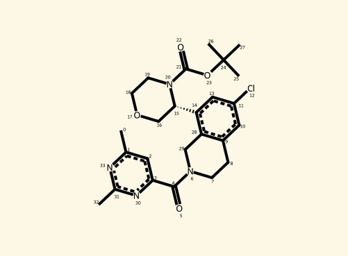 Cc1cc(C(=O)N2CCc3cc(Cl)cc([C@@H]4COCCN4C(=O)OC(C)(C)C)c3C2)nc(C)n1